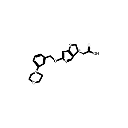 O=C(O)C[C@@H]1CSc2cc(OCc3cccc(N4CCOCC4)c3)ncc21